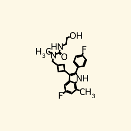 Cc1cc(F)cc2c(C3CC(CN(C)C(=O)NCCO)C3)c(-c3ccc(F)cc3)[nH]c12